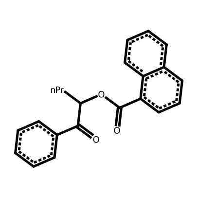 CCCC(OC(=O)c1cccc2ccccc12)C(=O)c1ccccc1